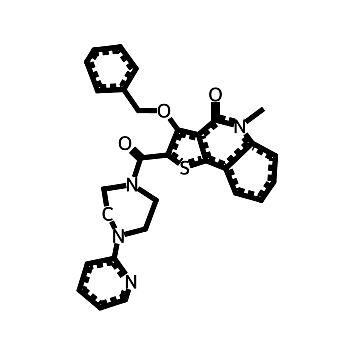 Cn1c(=O)c2c(OCc3ccccc3)c(C(=O)N3CCN(c4ccccn4)CC3)sc2c2ccccc21